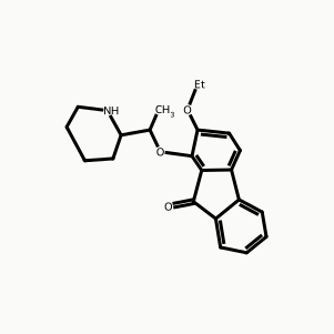 CCOc1ccc2c(c1OC(C)C1CCCCN1)C(=O)c1ccccc1-2